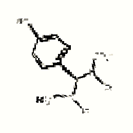 CCN(C(=O)O)C(c1ccc(C#N)cc1)N(CC)C(=O)O